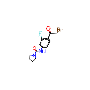 O=C(CBr)c1ccc(NC(=O)N2CCCC2)cc1F